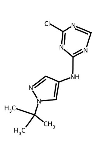 CC(C)(C)n1cc(Nc2ncnc(Cl)n2)cn1